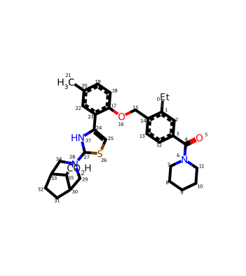 CCc1cc(C(=O)N2CCCCC2)ccc1COc1ccc(C)cc1C1=CSC(N2CC3CCC(C2)C3C(=O)O)N1